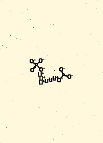 O=P([O-])([O-])[O-].[Li+].[Li+].[Li+].[Li+].[Li+].[Li+].[O-]P([O-])[O-]